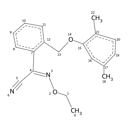 CCON=C(C#N)c1ccccc1COc1cc(C)ccc1C